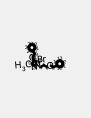 Cc1nn(CCCOCc2ccccc2)c(Br)c1OCc1ccccc1